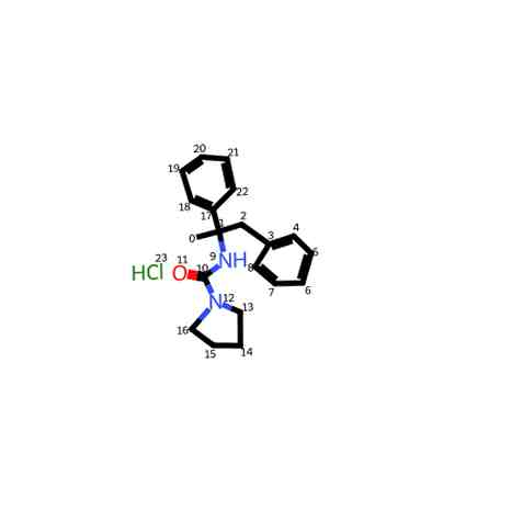 CC(Cc1ccccc1)(NC(=O)N1CCCC1)c1ccccc1.Cl